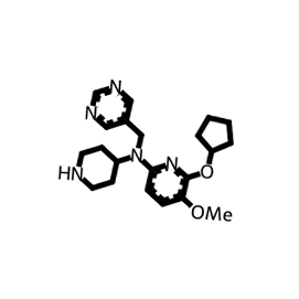 COc1ccc(N(Cc2cncnc2)C2CCNCC2)nc1OC1CCCC1